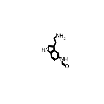 NCCc1c[nH]c2ccc(NC=O)cc12